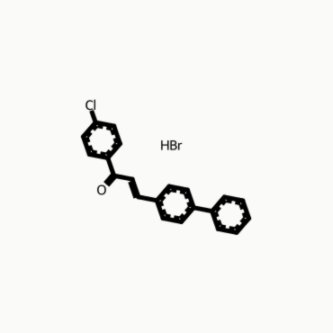 Br.O=C(/C=C/c1ccc(-c2ccccc2)cc1)c1ccc(Cl)cc1